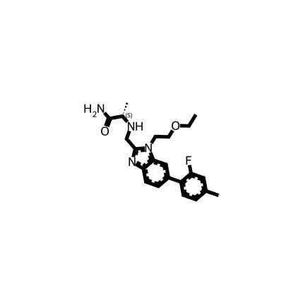 CCOCCn1c(CN[C@@H](C)C(N)=O)nc2ccc(-c3ccc(C)cc3F)cc21